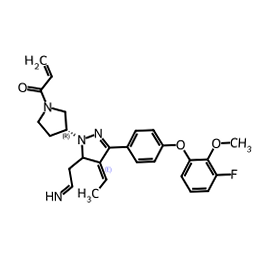 C=CC(=O)N1CC[C@@H](N2N=C(c3ccc(Oc4cccc(F)c4OC)cc3)/C(=C/C)C2CC=N)C1